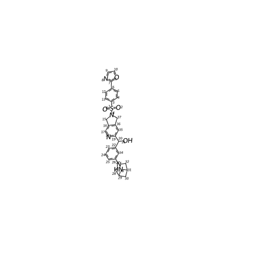 O=S(=O)(c1ccc(-c2ncco2)cc1)N1Cc2cnc(C(O)c3cccc(N4CC5CC(C4)N5)c3)cc2C1